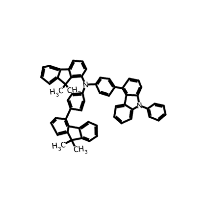 CC1(C)c2ccccc2-c2c(-c3ccc(N(c4ccc(-c5cccc6c5c5ccccc5n6-c5ccccc5)cc4)c4cccc5c4C(C)(C)c4ccccc4-5)cc3)cccc21